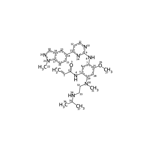 C=CC(=O)Nc1cc(Nc2nccc(-c3ccc4c(cnn4C)c3)n2)c(OC)cc1N(C)CCNC(C)C